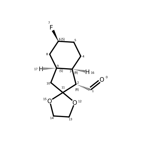 O=C[C@H]1[C@@H]2CC[C@H](F)C[C@@H]2CC12OCCO2